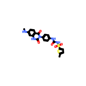 CNc1ccc2c(=O)n(-c3ccc(NC(=O)NS(=O)(=O)c4ccc(C)s4)cc3)c(=O)[nH]c2c1